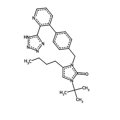 CCCCc1cn(C(C)(C)C)c(=O)n1Cc1ccc(-c2cccnc2-c2nnn[nH]2)cc1